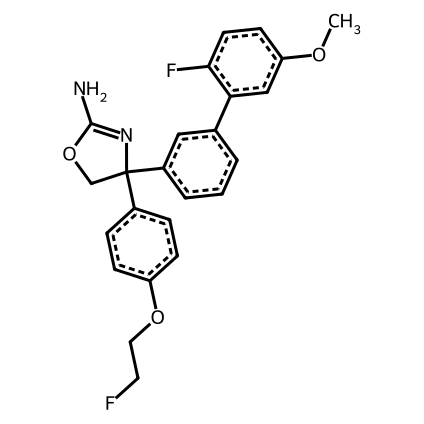 COc1ccc(F)c(-c2cccc(C3(c4ccc(OCCF)cc4)COC(N)=N3)c2)c1